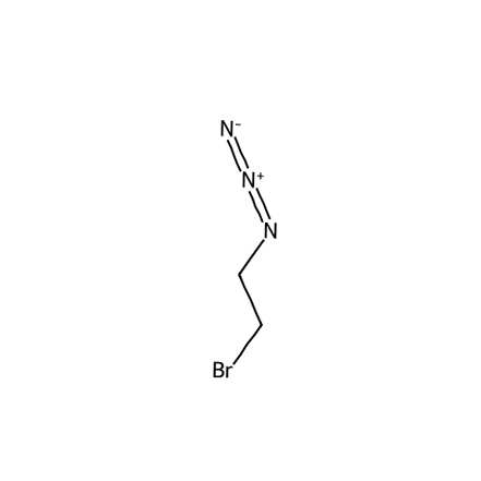 [N-]=[N+]=NCCBr